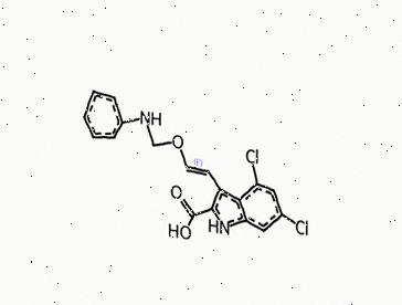 O=C(O)c1[nH]c2cc(Cl)cc(Cl)c2c1/C=C/OCNc1ccccc1